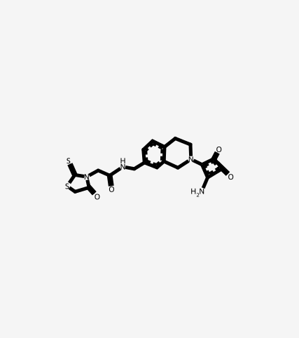 Nc1c(N2CCc3ccc(CNC(=O)CN4C(=O)CSC4=S)cc3C2)c(=O)c1=O